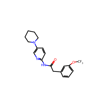 O=C(Cc1cccc(OC(F)(F)F)c1)Nc1ccc(N2CCCCC2)cn1